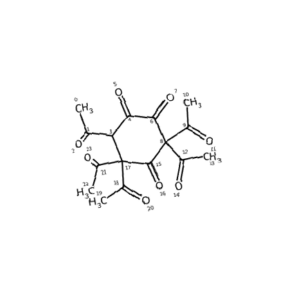 CC(=O)C1C(=O)C(=O)C(C(C)=O)(C(C)=O)C(=O)C1(C(C)=O)C(C)=O